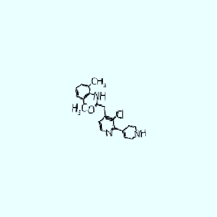 Cc1cccc(C)c1NC(=O)Cc1ccnc(C2=CCNCC2)c1Cl